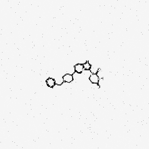 O=C1CCN(c2cnc3ccc(C4CCN(Cc5ccccc5)CC4)cn23)C(=O)N1